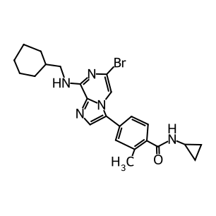 Cc1cc(-c2cnc3c(NCC4CCCCC4)nc(Br)cn23)ccc1C(=O)NC1CC1